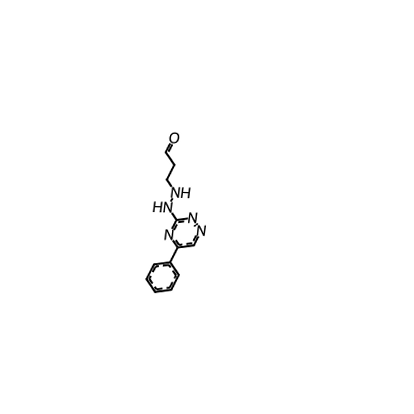 O=CCCNNc1nncc(-c2ccccc2)n1